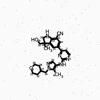 Cc1c(Nc2nccc(-c3cc(C#N)c4c(c3)C(C)(CO)CN4)n2)cnn1CC1CCOCC1